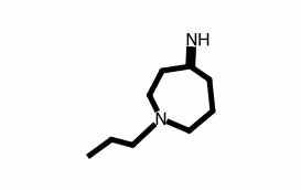 CCCN1CCCC(=N)CC1